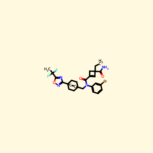 CCC1(C(N)=O)C=C(C(=O)N(CC23CCC(c4noc(C(C)(F)F)n4)(CC2)CC3)c2cccc(Br)c2)C1